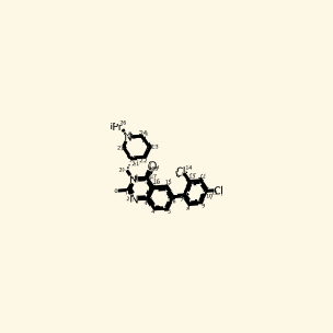 Cc1nc2ccc(-c3ccc(Cl)cc3Cl)cc2c(=O)n1C[C@H]1CCCN(C(C)C)C1